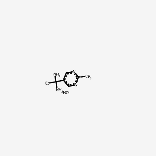 CCC(N)(N)c1cnc(C(F)(F)F)nc1.Cl